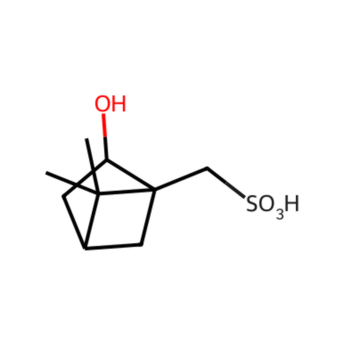 CC1(C)C2CC(O)C1(CS(=O)(=O)O)C2